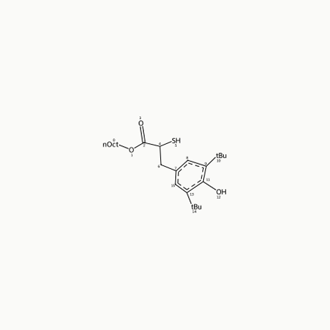 CCCCCCCCOC(=O)C(S)Cc1cc(C(C)(C)C)c(O)c(C(C)(C)C)c1